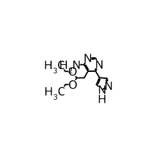 CCOC(Cc1c(N)ncnc1-c1cn[nH]c1)OCC